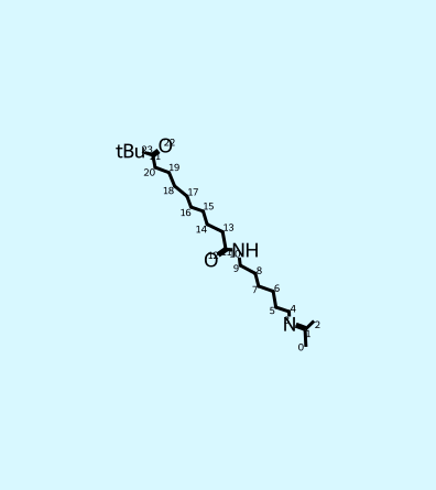 CC(C)=NCCCCCCNC(=O)CCCCCCCCC(=O)C(C)(C)C